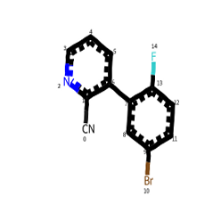 N#Cc1ncccc1-c1cc(Br)ccc1F